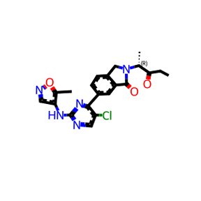 CCC(=O)[C@@H](C)N1Cc2ccc(-c3nc(Nc4cnoc4C)ncc3Cl)cc2C1=O